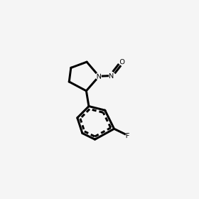 O=NN1CCCC1c1cccc(F)c1